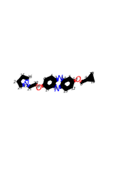 c1cc2nc3cc(OCC4CC4)ccc3nc2cc1OCCN1CCCC1